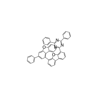 c1ccc(-c2cc(-c3cccc4c3oc3c(-c5nc(-c6ccccc6)nc(-c6ccccc6)n5)cccc34)c3c(c2)oc2ccccc23)cc1